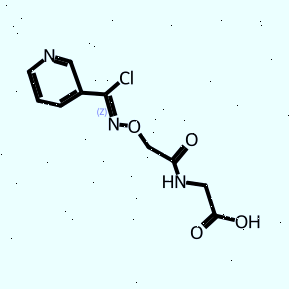 O=C(O)CNC(=O)CO/N=C(\Cl)c1cccnc1